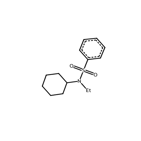 [CH2]CN(C1CCCCC1)S(=O)(=O)c1ccccc1